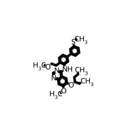 CCCC(CC)Oc1cc2c(Nc3cc(-c4cccc(SC)c4)ccc3CCOC)ncnc2cc1OC